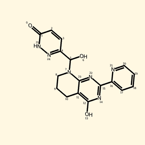 O=c1ccc(C(O)N2CCCc3c(O)nc(-c4ccccn4)nc32)n[nH]1